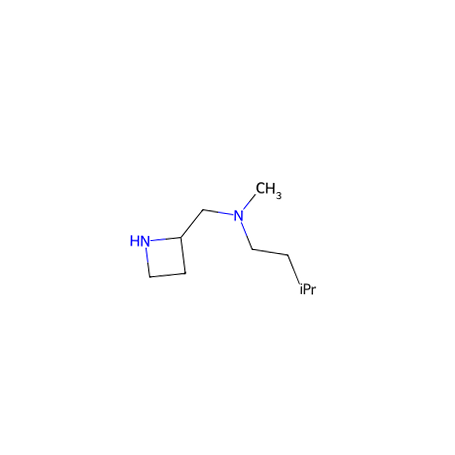 CC(C)CCN(C)CC1CCN1